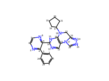 c1ccc(-c2nccnc2-c2ncc3c(n2)N(C2CCCC2)Cc2nncn2-3)cc1